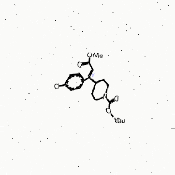 COC(=O)/C=C(\c1ccc(Cl)cc1)C1CCN(C(=O)OC(C)(C)C)CC1